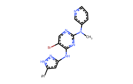 CC(C)c1cc(Nc2nc(N(C)c3cccnc3)ncc2Br)n[nH]1